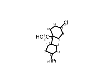 CCCC1CCC(C2(C(=O)O)CCC(Cl)CC2)CC1